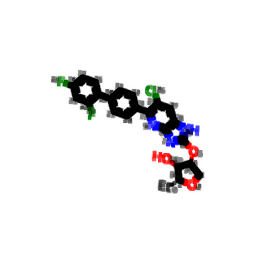 CC[C@H]1OC[C@@H](Oc2nc3nc(-c4ccc(-c5ccc(F)cc5F)cc4)c(Cl)cc3[nH]2)[C@@H]1O